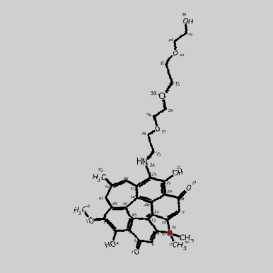 COc1c(O)c2c(=O)cc(OC)c3c4c(OC)cc(=O)c5c(O)c(NCCOCCOCCOCCO)c6c(c(c1CC(C)=C6)c23)c54